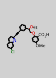 CCOC(COc1ccc(OC)cc1C(=O)O)c1cccc(C#Cc2ccc3ccc(Cl)cc3n2)c1